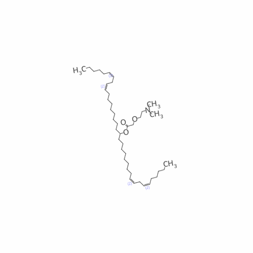 CCCCC/C=C\C/C=C\CCCCCCCCC(CCCCCCCC/C=C\C/C=C\CCCCC)OC(=O)COCCN(C)C